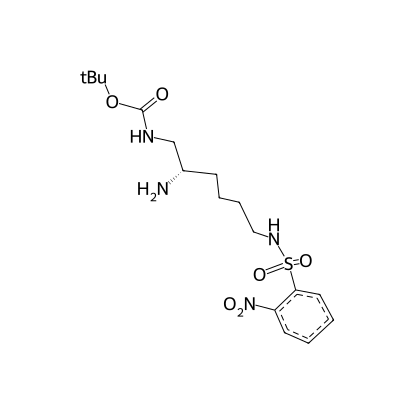 CC(C)(C)OC(=O)NC[C@@H](N)CCCCNS(=O)(=O)c1ccccc1[N+](=O)[O-]